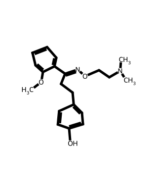 COc1ccccc1C(CCc1ccc(O)cc1)=NOCCN(C)C